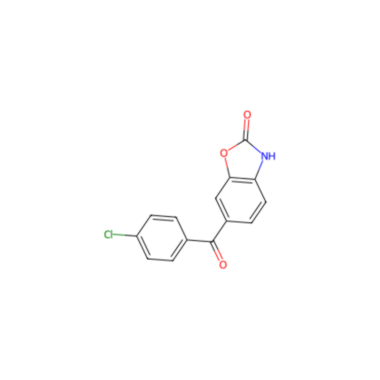 O=C(c1ccc(Cl)cc1)c1ccc2[nH]c(=O)oc2c1